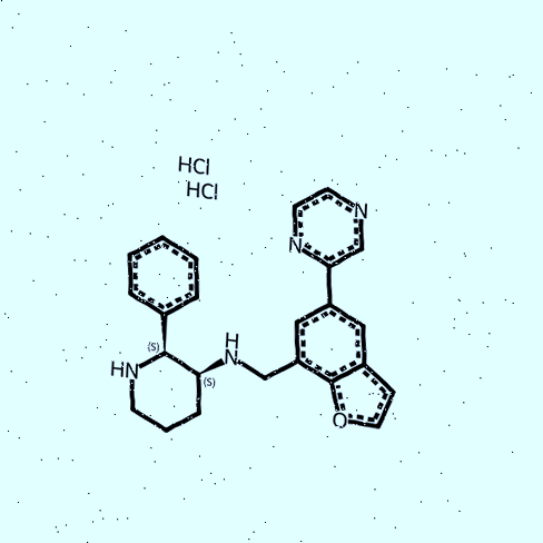 Cl.Cl.c1ccc([C@@H]2NCCC[C@@H]2NCc2cc(-c3cnccn3)cc3ccoc23)cc1